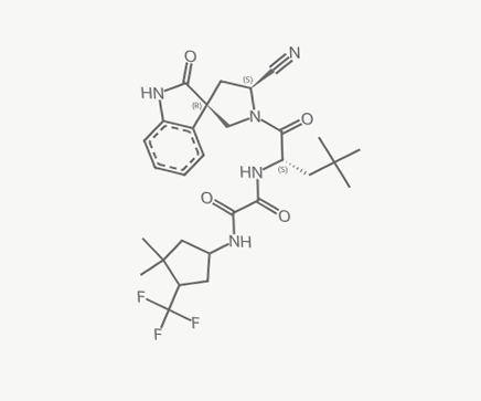 CC(C)(C)C[C@H](NC(=O)C(=O)NC1CC(C(F)(F)F)C(C)(C)C1)C(=O)N1C[C@]2(C[C@H]1C#N)C(=O)Nc1ccccc12